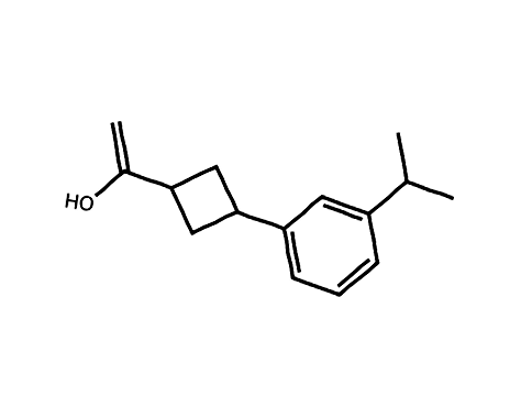 C=C(O)C1CC(c2cccc(C(C)C)c2)C1